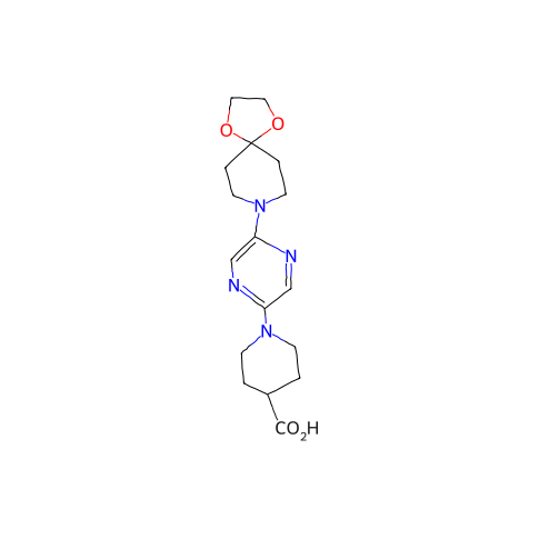 O=C(O)C1CCN(c2cnc(N3CCC4(CC3)OCCO4)cn2)CC1